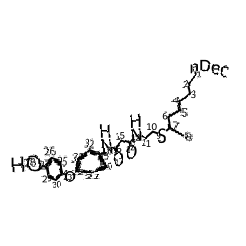 CCCCCCCCCCCCCCCCC(C)SCCNC(=O)CC(=O)Nc1ccc(Oc2ccc(O)cc2)cc1